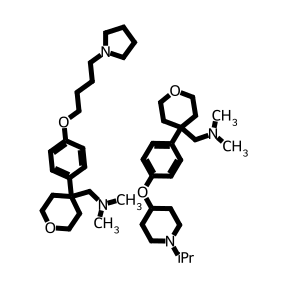 CC(C)N1CCC(Oc2ccc(C3(CN(C)C)CCOCC3)cc2)CC1.CN(C)CC1(c2ccc(OCCCCN3CCCC3)cc2)CCOCC1